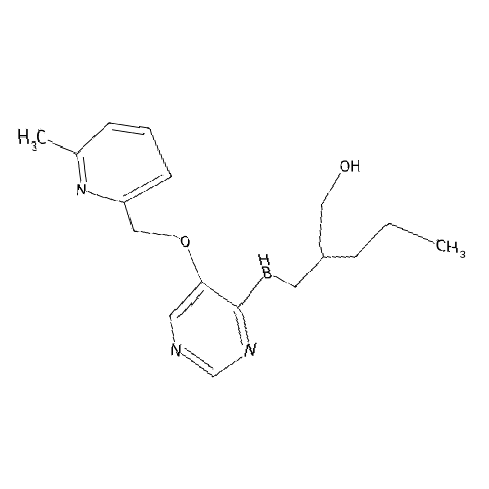 CCCC(CO)CBc1ncncc1OCc1cccc(C)n1